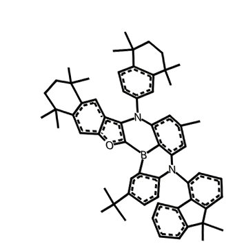 Cc1cc2c3c(c1)N(c1ccc4c(c1)C(C)(C)CCC4(C)C)c1c(oc4cc5c(cc14)C(C)(C)CCC5(C)C)B3c1cc(C(C)(C)C)ccc1N2c1cccc2c1-c1ccccc1C2(C)C